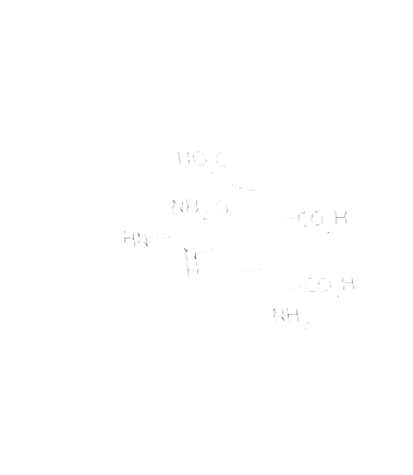 N=C(N)NCCCC(N)C(=O)O.O=C(O)CCC(=O)C(=O)O